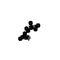 CC1(C)c2cc(-c3ccc(-c4cc(-c5cccc6c5sc5ccccc56)nc(-c5ccccc5)n4)c4ccccc34)ccc2-c2cc3ccccc3cc21